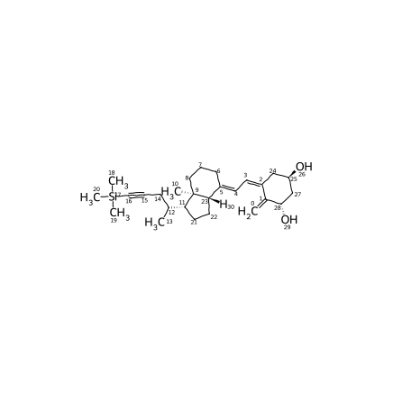 C=C1C(=CC=C2CCC[C@]3(C)[C@@H](C(C)CC#C[Si](C)(C)C)CC[C@@H]23)C[C@@H](O)C[C@@H]1O